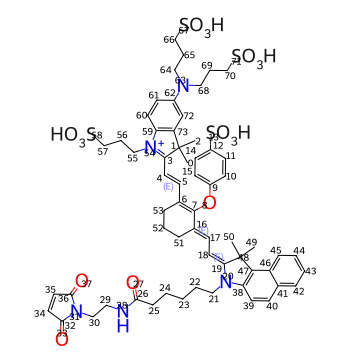 CC1(C)C(/C=C/C2=C(Oc3ccc(S(=O)(=O)O)cc3)C(=C/C=C3/N(CCCCCC(=O)NCCN4C(=O)C=CC4=O)c4ccc5ccccc5c4C3(C)C)/CCC2)=[N+](CCCS(=O)(=O)O)c2ccc(N(CCCS(=O)(=O)O)CCCS(=O)(=O)O)cc21